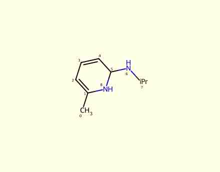 CC1=CC=CC(NC(C)C)N1